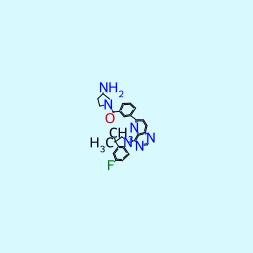 CC1(C)CN(c2ncnc3ccc(-c4cccc(C(=O)N5CC[C@H](N)C5)c4)nc23)c2ccc(F)cc21